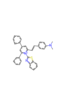 CN(C)c1ccc(C=Cc2cc(-c3ccccc3)cc(-c3ccccc3)[n+]2-c2nc3ccccc3s2)cc1